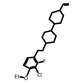 C=CC1CCC(C2CCC(CCc3ccc(OCC)c(Cl)c3F)CC2)CC1